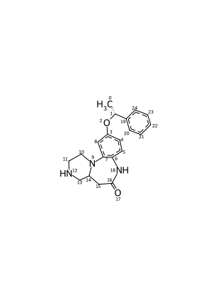 C[C@@H](Oc1ccc2c(c1)N1CCNCC1CC(=O)N2)c1ccccc1